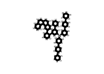 c1ccc(-c2ccc(-c3ccc(N(c4cccc(-c5ccc(-c6ccccc6)cc5)c4)c4cc(-c5ccccc5)cc(-c5ccccc5-c5ccc6ccc7ccc8ccccc8c7c6c5)c4)cc3)cc2)cc1